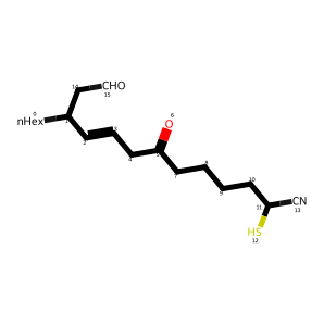 CCCCCCC(C=CCC(=O)CCCCC(S)C#N)CC=O